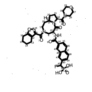 O=C(N[C@H]1CN(C(=O)c2noc3c2CCCC3)CC[C@H]2CC[C@@H](C(=O)N3CCOCC3)N2C1=O)c1ccc2ccc(C(F)P(=O)(O)O)cc2c1